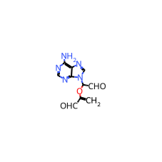 C=C(C=O)OC(C=O)n1cnc2c(N)ncnc21